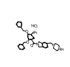 CC(C)c1cc(C(=O)N2Cc3ccc(CN4CCNCC4)cc3C2)c(OCc2ccccc2)cc1OCc1ccccc1.Cl